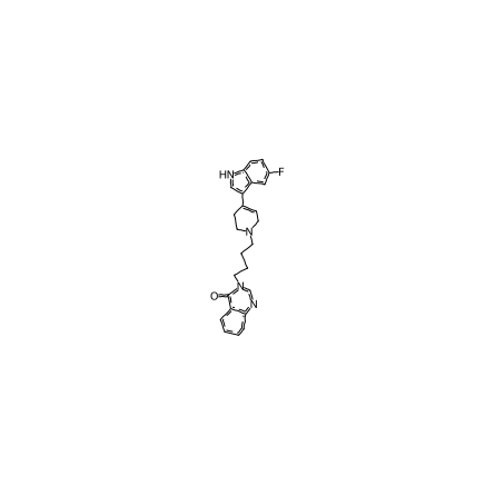 O=c1c2ccccc2ncn1CCCCN1CC=C(c2c[nH]c3ccc(F)cc23)CC1